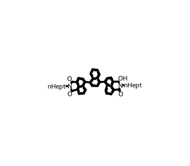 CCCCCCCN1C(=O)c2cccc3c(-c4ccc(-c5ccc6c7c(cccc57)C(=O)N(CCCCCCC)C6O)c5ccccc45)ccc(c23)C1=O